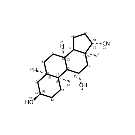 C[C@]12C[C@H](O)C3[C@@H](CC[C@@H]4C[C@H](O)CC[C@]34C)C1CC[C@@H]2C#N